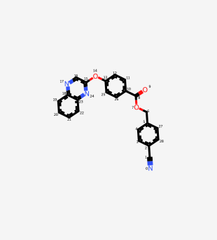 N#Cc1ccc(COC(=O)c2ccc(Oc3cnc4ccccc4n3)cc2)cc1